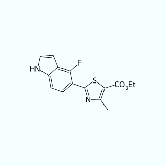 CCOC(=O)c1sc(-c2ccc3[nH]ccc3c2F)nc1C